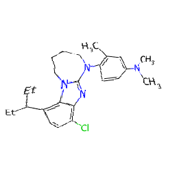 CCC(CC)c1ccc(Cl)c2nc3n(c12)CCCCN3c1ccc(N(C)C)cc1C